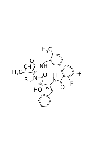 Cc1ccccc1CNC(=O)[C@H]1N(C(=O)[C@@H](O)[C@H](Cc2ccccc2)NC(=O)c2cccc(F)c2F)CSC1(C)C